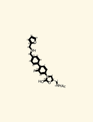 CC(=O)NC[C@H]1CN(c2ccc(-c3ccc(CNCc4ccco4)cc3)c(F)c2)C(O)O1